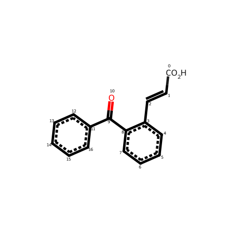 O=C(O)C=Cc1ccccc1C(=O)c1ccccc1